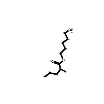 CCCC(C)C(=O)OCCCCCO